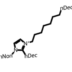 CCCCCCCCCCCCCCCCC[n+]1ccn(CCCCCCCCC)c1CCCCCCCCCC